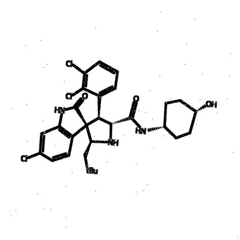 CC(C)(C)C[C@@H]1N[C@@H](C(=O)N[C@H]2CC[C@@H](O)CC2)[C@H](c2cccc(Cl)c2Cl)[C@]12C(=O)Nc1cc(Cl)ccc12